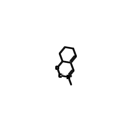 C[N+]1=CC2=CCCCC2O[CH-]1